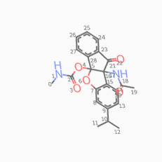 CNC(=O)OC12Oc3cc(C(C)C)ccc3C1(NC(C)=O)C(=O)c1ccccc12